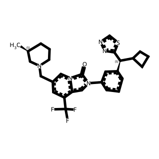 C[C@H]1CCCN(Cc2cc(C(F)(F)F)c3cn(-c4cccc([C@@H](c5nncs5)C5CCC5)c4)c(=O)n3c2)C1